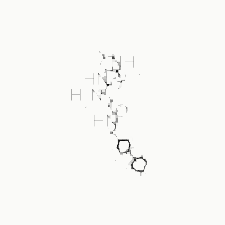 CC(C)C[C@H](NC(=O)[C@@H](N)CCC(=O)NCCc1ccc(-c2ccccc2)cc1)C(N)=O